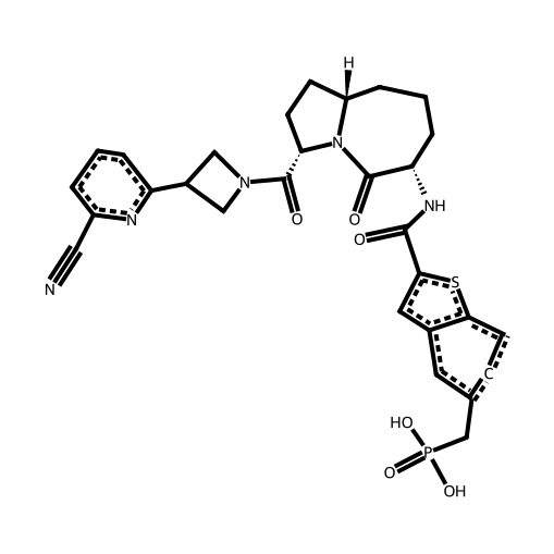 N#Cc1cccc(C2CN(C(=O)[C@@H]3CC[C@@H]4CCC[C@H](NC(=O)c5cc6cc(CP(=O)(O)O)ccc6s5)C(=O)N43)C2)n1